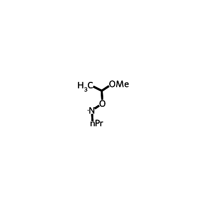 CCC[N]OC(C)OC